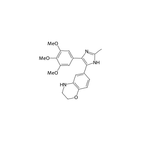 COc1cc(-c2nc(C)[nH]c2-c2ccc3c(c2)NCCO3)cc(OC)c1OC